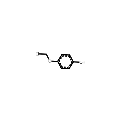 Oc1ccc(OCCl)cc1